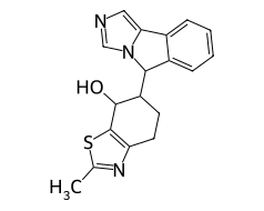 Cc1nc2c(s1)C(O)C(C1c3ccccc3-c3cncn31)CC2